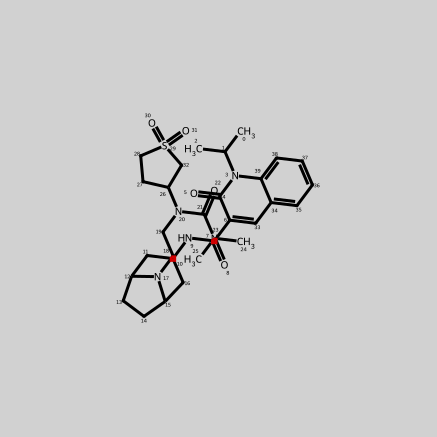 CC(C)n1c(=O)c(C(=O)NC2CC3CCC(C2)N3CCN(C(=O)N(C)C)C2CCS(=O)(=O)C2)cc2ccccc21